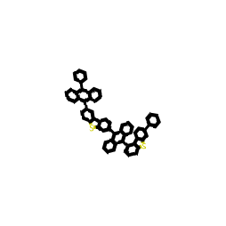 c1ccc(-c2ccc3c(c2)sc2cccc(-c4c5ccccc5c(-c5ccc6c(c5)sc5ccc(-c7c8ccccc8c(-c8ccccc8)c8ccccc78)cc56)c5ccccc45)c23)cc1